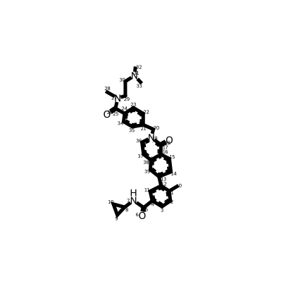 Cc1ccc(C(=O)NC2CC2)cc1-c1ccc2c(=O)n(Cc3ccc(C(=O)N(C)CCN(C)C)cc3)ccc2c1